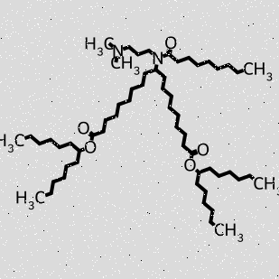 CCCCCCCCC(=O)N(CCCN(C)C)C(CCCCCCCCC(=O)OC(CCCCCC)CCCCCC)CCCCCCCCC(=O)OC(CCCCCC)CCCCCC